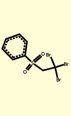 O=S(=O)(CC(Br)(Br)Br)c1ccccc1